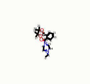 CCN1CCN(C(=O)c2ccccc2B2OC(C)(C)C(C)(C)O2)CC1